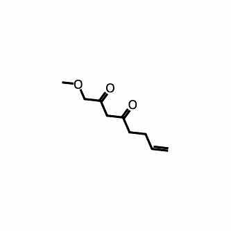 C=CCCC(=O)CC(=O)COC